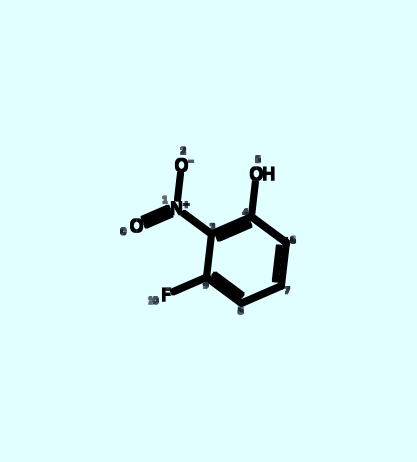 O=[N+]([O-])c1c(O)[c]ccc1F